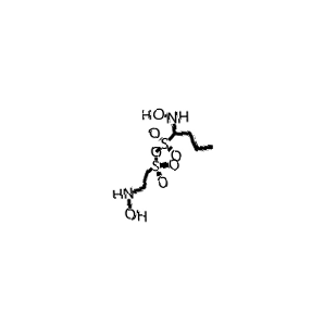 CCCC(NO)S(=O)(=O)OS(=O)(=O)CCNO